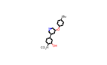 CC(C)(C)c1ccc(Oc2cncc(-c3ccc(C(=O)O)c(O)c3)c2)cc1